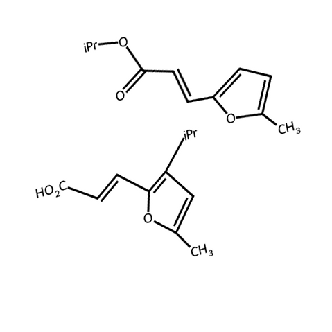 Cc1cc(C(C)C)c(C=CC(=O)O)o1.Cc1ccc(/C=C/C(=O)OC(C)C)o1